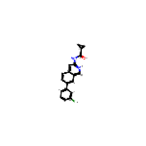 O=C(Nc1cc2ccc(-c3cccc(F)c3)cc2cn1)C1CC1